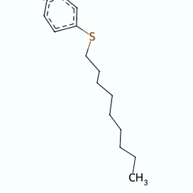 CCCCCCCCCSc1cc[c]cc1